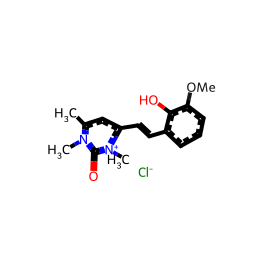 COc1cccc(C=Cc2cc(C)n(C)c(=O)[n+]2C)c1O.[Cl-]